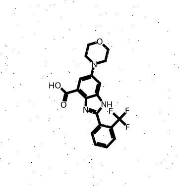 O=C(O)c1cc(N2CCOCC2)cc2[nH]c(-c3ccccc3C(F)(F)F)nc12